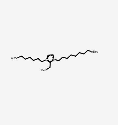 CCCCCCCCCCCCCCCCCC[n+]1ccn(CCCCCCCCCCCCCCCC)c1CCCCCCCCCCC